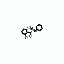 O=C(c1c(Cl)cccc1Cl)[PH](=O)Cc1ccccc1